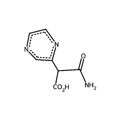 NC(=O)C(C(=O)O)c1cnccn1